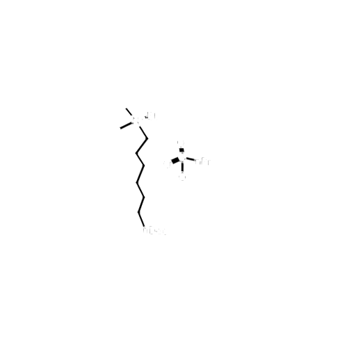 CCCCCCCCCCCCCCCC[N+](C)(C)CC.CCCS(=O)(=O)[O-]